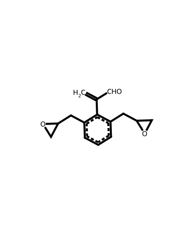 C=C(C=O)c1c(CC2CO2)cccc1CC1CO1